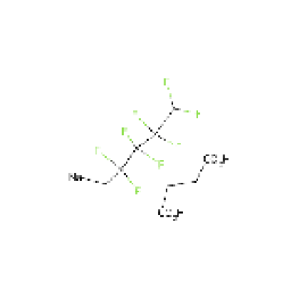 FC(F)C(F)(F)C(F)(F)C(F)(F)[CH2][Na].O=C(O)CCC(=O)O